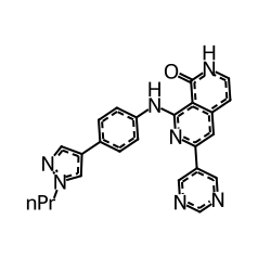 CCCn1cc(-c2ccc(Nc3nc(-c4cncnc4)cc4cc[nH]c(=O)c34)cc2)cn1